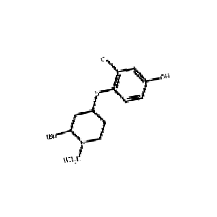 CC(C)(C)C1CC(Sc2ccc(O)cc2Cl)CCN1C(=O)O